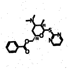 C[C@H]1C(Sc2ncccn2)O[C@H](COC(=O)c2ccccc2)CC1N(C)C